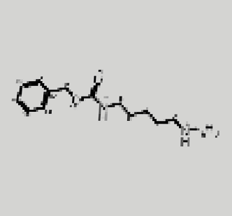 CNCCCCCNC(=O)OCc1ccccc1